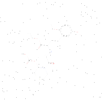 CCOC(=O)C(CCc1cc(OC)ccc1OC)N[C@@H](C)C(=O)N1CCSCC1OC(=O)OC